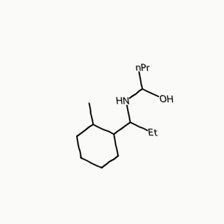 CCCC(O)NC(CC)C1CCCCC1C